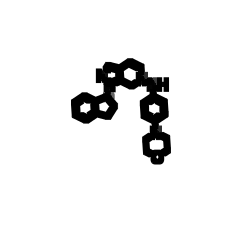 C1=CN(Nc2ccc(N3CCOCC3)cc2)Cc2c1cnn2[C@H]1CCc2ccccc21